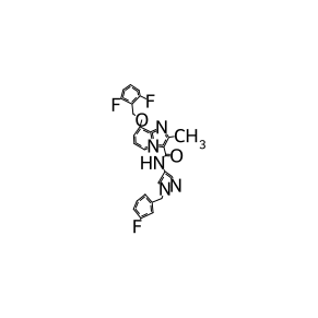 Cc1nc2c(OCc3c(F)cccc3F)cccn2c1C(=O)Nc1cnn(Cc2cccc(F)c2)c1